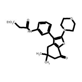 CCOC(=O)CC(=O)Nc1cccc(-c2c(N3CCOCC3)sc3c2CC(C)(C)CC3=O)c1